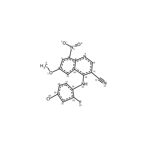 COc1cc([N+](=O)[O-])c2ncc(C#N)c(Nc3ccc(Cl)cc3F)c2c1